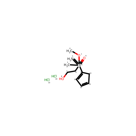 C[O][Ti]([CH3])(=[O])(=[SiH2])([CH2]CO)[C]1=CC=CC1.Cl.Cl